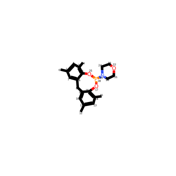 Cc1cc(C)c2c(c1)Cc1cc(C)cc(C)c1OP(N1CCOCC1)O2